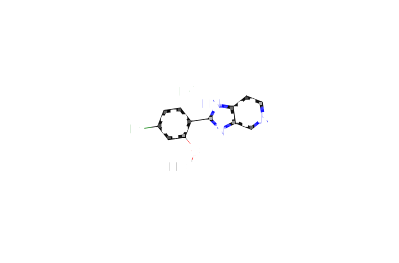 COc1cc(Br)ccc1-c1nc2cnccc2[nH]1.Cl